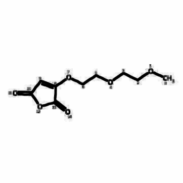 COCCOCCOC1=CC(=O)OC1=O